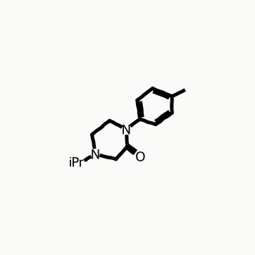 Cc1ccc(N2CCN(C(C)C)CC2=O)cc1